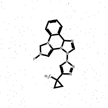 CC1(c2cn(N3C=NC4c5ccccc5N5CN(F)C=C5N43)nn2)CC1